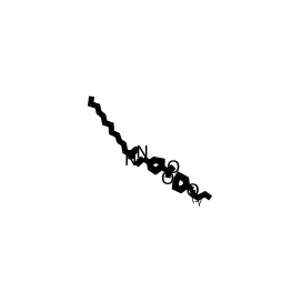 CCCCCCCCCCCCc1cnc(-c2ccc(C(=O)Oc3ccc(OC[C@@H](C)CC)cc3)cc2)cn1